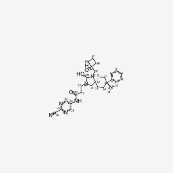 CN(C)[C@]1(c2ccccc2)CC[C@]2(CC1)CN(CCC(=O)Nc1cnc(C#N)nc1)C(O)N2CC1(O)CCC1